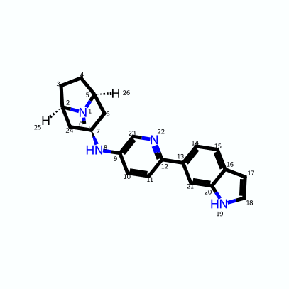 CN1[C@@H]2CC[C@H]1C[C@@H](Nc1ccc(-c3ccc4cc[nH]c4c3)nc1)C2